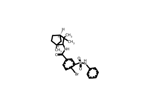 CC1(C)C(NC(=O)c2ccc(Br)c(S(=O)(=O)Nc3ccccc3)c2)[C@]2(C)CC[C@@H]1C2